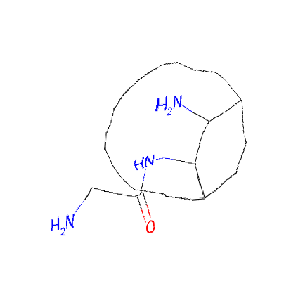 NCC(=O)NC1C2CCCCCCCC(CC2)C1N